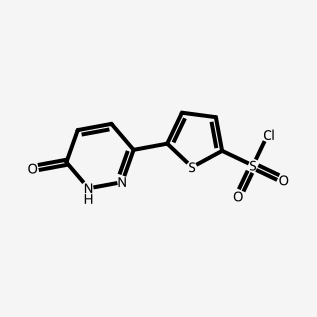 O=c1ccc(-c2ccc(S(=O)(=O)Cl)s2)n[nH]1